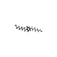 CCCCCCCCc1ccc(CCCCCCCC)cc1